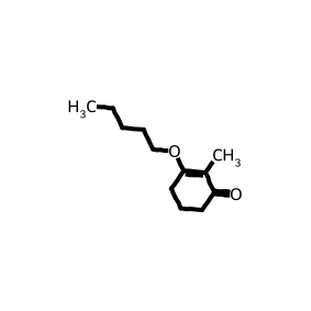 CCCCCOC1=C(C)C(=O)CCC1